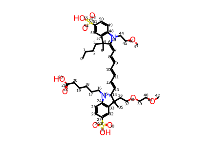 CCCCC1(C)\C(=C/C=C/C=C/C=C/C2=[N+](CCCCCC(=O)O)c3ccc(S(=O)(=O)O)cc3C2(C)CCOCCOC)N(CCOC)c2ccc(S(=O)(=O)O)cc21